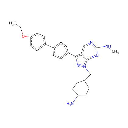 CCOc1ccc(-c2ccc(-c3nn(CC4CCC(N)CC4)c4nc(NC)ncc34)cc2)cc1